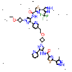 CCO[C@H]1C[C@@H](n2cc(NC(=O)c3csc(-c4c[nH]nc4C(F)(F)F)n3)c(-c3ccc(CCO[C@H]4C[C@@H](n5cc(NC(=O)c6csc(-c7c[nH]nc7C)n6)c(-c6ccccn6)n5)C4)cn3)n2)C1